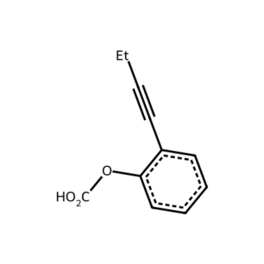 CCC#Cc1ccccc1OC(=O)O